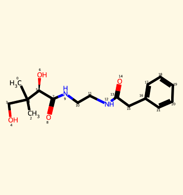 CC(C)(CO)[C@@H](O)C(=O)NCCNC(=O)Cc1ccccc1